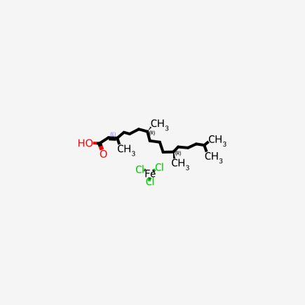 C/C(=C\C(=O)O)CCC[C@H](C)CCC[C@H](C)CCCC(C)C.[Cl][Fe]([Cl])[Cl]